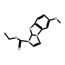 CCOC(=O)N1C=CN2c3cc(OC)ccc3SC12